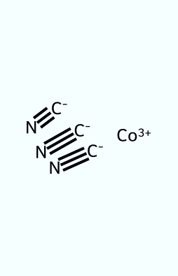 [C-]#N.[C-]#N.[C-]#N.[Co+3]